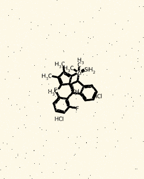 CC1=C(C)C(C)[C]([Zr]([CH3])([CH3])(=[SiH2])[CH]2C=C(c3c(F)cccc3F)c3ccccc32)=C1C.Cl.Cl